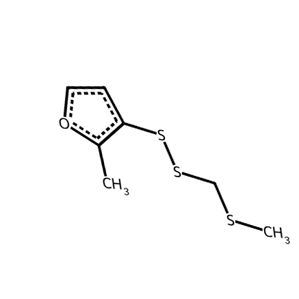 CSCSSc1ccoc1C